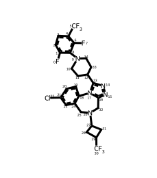 Fc1ccc(C(F)(F)F)c(F)c1N1CCC(c2nnc3n2-c2ccc(Cl)cc2CN(C2CC(C(F)(F)F)C2)C3)CC1